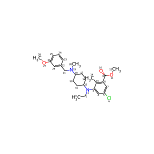 CCN(c1cc(Cl)cc(C(=O)OC)c1C)C1CCC(N(C)Cc2cccc(OC)c2)CC1